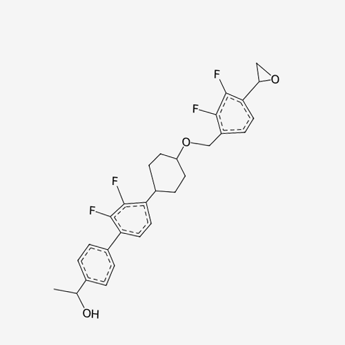 CC(O)c1ccc(-c2ccc(C3CCC(OCc4ccc(C5CO5)c(F)c4F)CC3)c(F)c2F)cc1